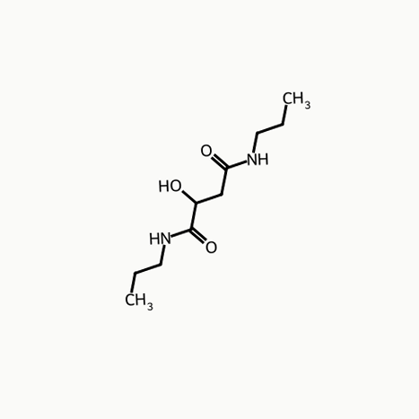 CCCNC(=O)CC(O)C(=O)NCCC